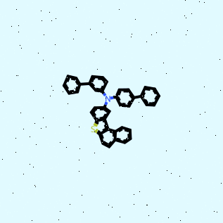 c1ccc(-c2ccc(N(c3cccc(-c4ccccc4)c3)c3ccc4sc5ccc6ccccc6c5c4c3)cc2)cc1